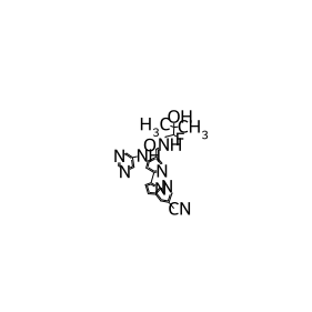 CC(C)(O)C(F)CNC(=O)c1cnc(-c2ccc3cc(C#N)cnn23)cc1Nc1cncnc1